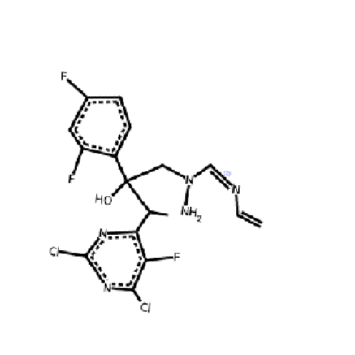 C=C/N=C\N(N)CC(O)(c1ccc(F)cc1F)C(C)c1nc(Cl)nc(Cl)c1F